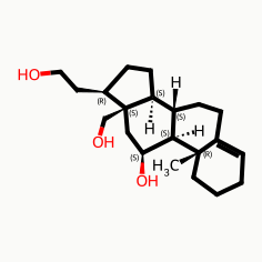 C[C@]12CCCC=C1CC[C@@H]1[C@@H]2[C@@H](O)C[C@]2(CO)[C@@H](CCO)CC[C@@H]12